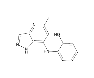 Cc1cc(Nc2ccccc2O)c2[nH]ncc2n1